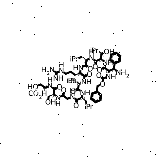 CC[C@H](C)[C@H](NC(=O)[C@@H](CCCNC(=N)N)NC(=O)[C@H](CC(C)C)NC(=O)[C@@H](NC(=O)[C@@H](NC(=O)OCc1ccccc1)[C@H](N)c1ccccc1)[C@H](O)C(C)C)C(=O)N[C@@H](CC(C)C)C(=O)NCC(=O)N[C@@H](CO)C(=O)N[C@@H](CO)C(=O)O